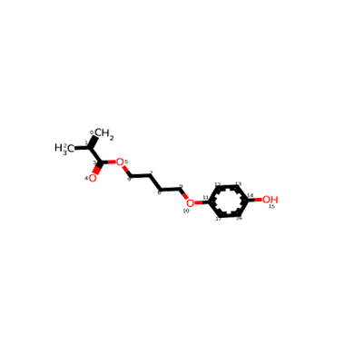 C=C(C)C(=O)OCCCCOc1ccc(O)cc1